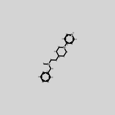 CN(CCC1CCN(c2ccncc2)CC1)Cc1ccccc1